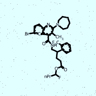 CCCC(F)OC(=O)CCC(CNC(=O)c1c(C)c(N2CCCCCC2)nc2ccc(Br)cc12)c1ccccc1C(F)(F)F